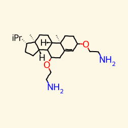 CC(C)[C@H]1CC[C@H]2C3[C@H](OCCN)CC4=CC(OCCN)CC[C@]4(C)[C@H]3CC[C@]12C